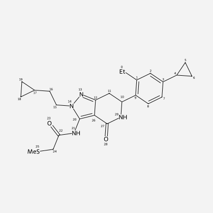 CCc1cc(C2CC2)ccc1C1Cc2nn(CCC3CC3)c(NC(=O)CSC)c2C(=O)N1